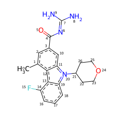 Cc1cc(C(=O)N=C(N)N)cc2c1c1c(F)cccc1n2C1CCOCC1